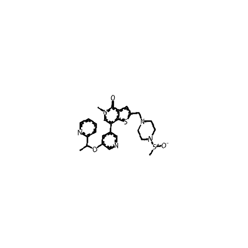 CC(Oc1cncc(-c2cn(C)c(=O)c3cc(CN4CCN([S+](C)[O-])CC4)sc23)c1)c1ccccn1